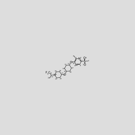 Cc1nc(S(C)(=O)=O)cnc1OC1CCC(OC2CCN(C(C)C(F)(F)F)CC2)CC1